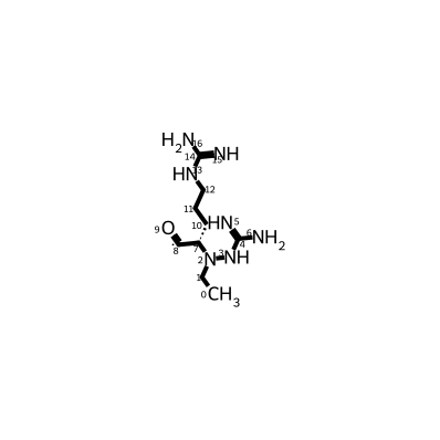 CCN(NC(=N)N)[C@H]([C]=O)CCCNC(=N)N